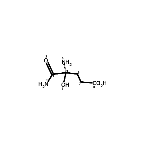 NC(=O)[C@](N)(O)CCC(=O)O